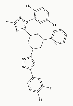 Cc1nc(C2CC(n3cc(-c4ccc(Cl)c(F)c4)nn3)CC(c3ccccc3)O2)n(-c2cc(Cl)ccc2Cl)n1